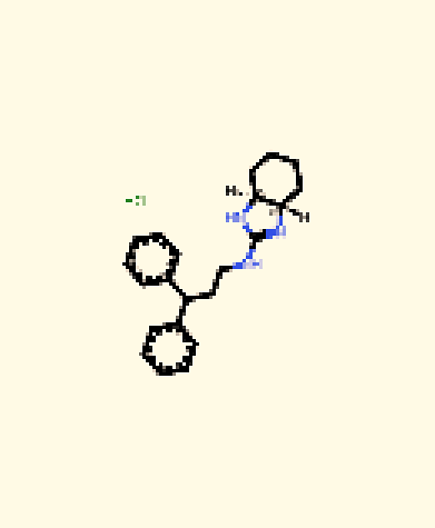 Cl.c1ccc(C(CCNC2=N[C@H]3CCCC[C@@H]3N2)c2ccccc2)cc1